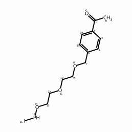 CC(=O)c1ccc(COCCOCCOPI)cc1